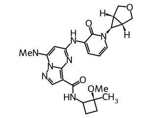 CNc1cc(Nc2cccn([C@H]3[C@@H]4COC[C@@H]43)c2=O)nc2c(C(=O)NC3CC[C@]3(C)OC)cnn12